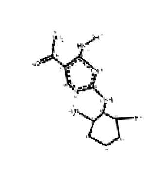 [3H]Nc1nc(NC2C(N)CCCC2F)ncc1C(N)=O